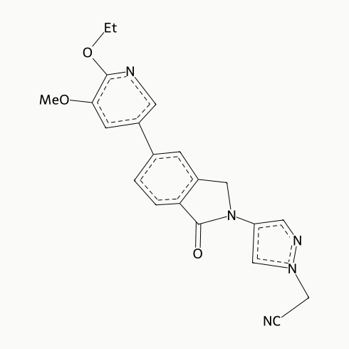 CCOc1ncc(-c2ccc3c(c2)CN(c2cnn(CC#N)c2)C3=O)cc1OC